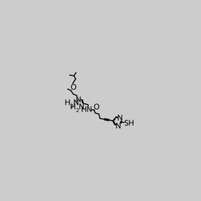 CC(C)CCOC(C)CCN(N)/C=C(\N)CNC(=O)CCCC#Cc1cnc(S)nc1